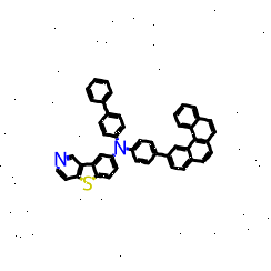 c1ccc(-c2ccc(N(c3ccc(-c4ccc5ccc6ccc7ccccc7c6c5c4)cc3)c3ccc4sc5ccncc5c4c3)cc2)cc1